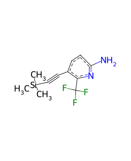 C[Si](C)(C)C#Cc1ccc(N)nc1C(F)(F)F